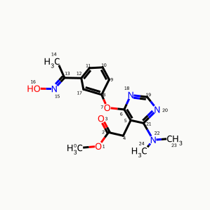 COC(=O)Cc1c(Oc2cccc(C(C)=NO)c2)ncnc1N(C)C